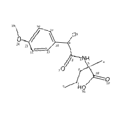 CCCC(C)(NC(=O)C(Cl)c1ccc(OC)cc1)C(=O)O